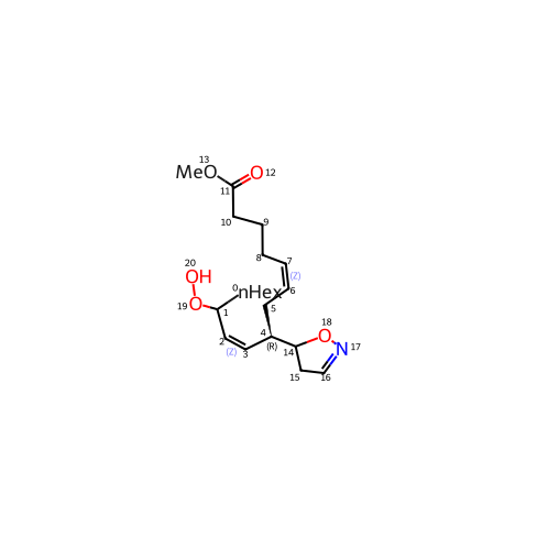 CCCCCCC(/C=C\[C@@H](C/C=C\CCCC(=O)OC)C1CC=NO1)OO